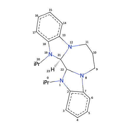 CC(C)N1c2ccccc2N2CCCN3c4ccccc4N(C(C)C)[C@@H]3C21